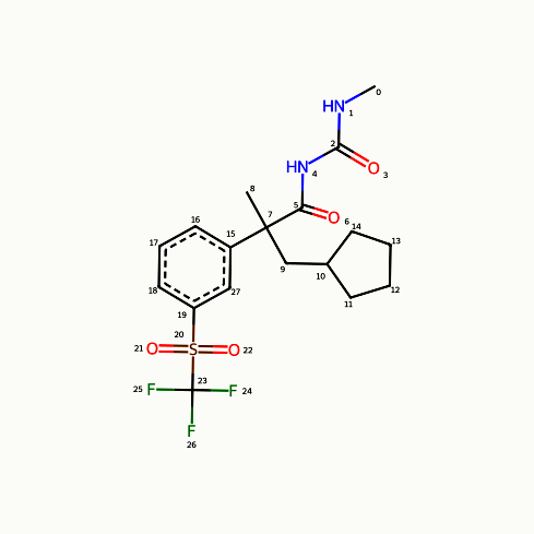 CNC(=O)NC(=O)C(C)(CC1CCCC1)c1cccc(S(=O)(=O)C(F)(F)F)c1